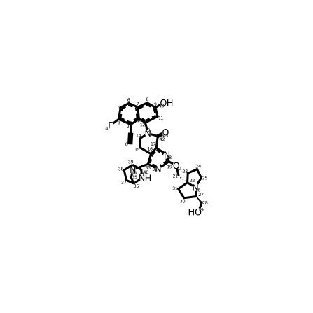 C#Cc1c(F)ccc2cc(O)cc(N3CCc4c(nc(OC[C@]56CCCN5[C@@H](CO)CC6)nc4N4CC5CCC4CN5)C3=O)c12